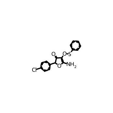 NC1=C(OSc2ccccc2)C(=O)C(c2ccc(Cl)cc2)O1